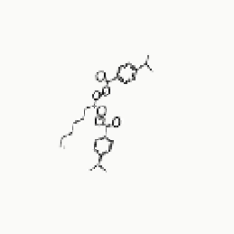 [CH2]CCCCC[C](OOC(=O)c1ccc(C(C)C)cc1)OOC(=O)c1ccc(C(C)C)cc1